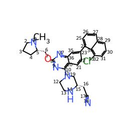 CN1CCC[C@H]1COc1nc(N2CCN[C@@H](CC#N)C2)c2ccc(-c3cccc4cccc(Cl)c34)cc2n1